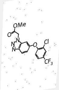 COC(=O)Cn1nnc2ccc(Oc3ccc(C(F)(F)F)cc3Cl)cc21